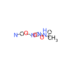 CC(CNC(=O)CN1CC2CN(CCCOc3ccc(C#N)cc3)CC(C1)O2)c1ccccc1